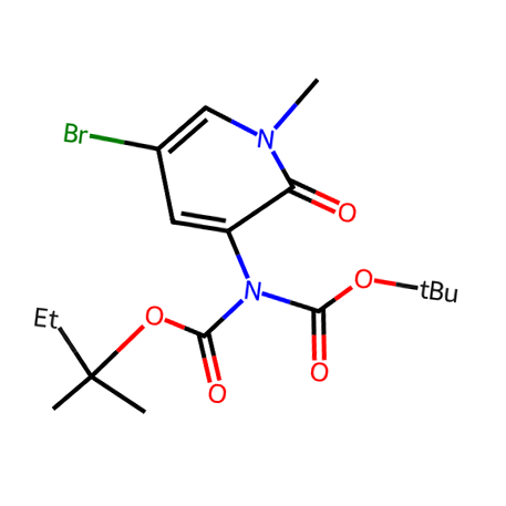 CCC(C)(C)OC(=O)N(C(=O)OC(C)(C)C)c1cc(Br)cn(C)c1=O